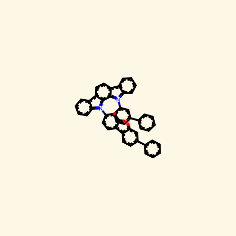 c1ccc(-c2cccc(-n3c4ccccc4c4ccc5c6ccccc6n(-c6ccc7c(c6)oc6cc(-c8ccccc8)ccc67)c5c43)c2)cc1